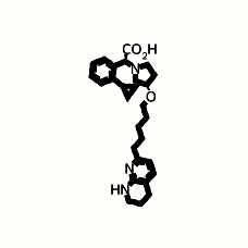 O=C(O)[C@H](c1ccccc1C1CC1)N1CC[C@H](OCCCCCc2ccc3c(n2)NCCC3)C1